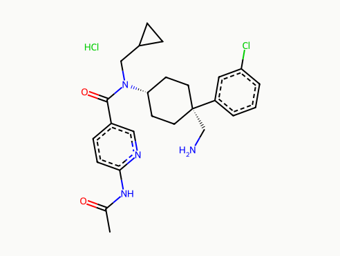 CC(=O)Nc1ccc(C(=O)N(CC2CC2)[C@H]2CC[C@](CN)(c3cccc(Cl)c3)CC2)cn1.Cl